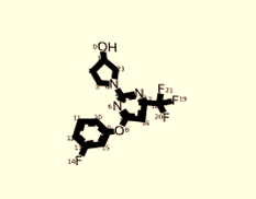 OC1CCN(c2nc(Oc3cccc(F)c3)cc(C(F)(F)F)n2)C1